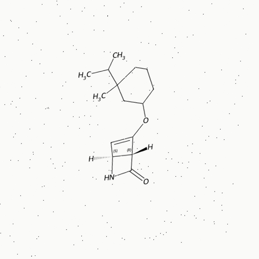 CC(C)C1(C)CCCC(OC2=C[C@@H]3NC(=O)[C@@H]23)C1